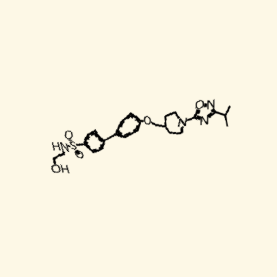 CC(C)c1noc(N2CCC(COc3ccc(-c4ccc(S(=O)(=O)NCCO)cc4)cc3)CC2)n1